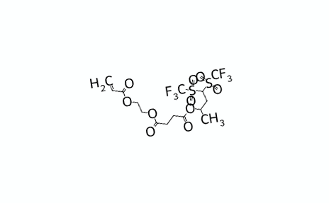 C=CC(=O)OCCOC(=O)CCC(=O)OC(C)CC(S(=O)(=O)C(F)(F)F)S(=O)(=O)C(F)(F)F